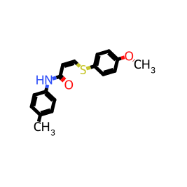 COc1ccc(S/C=C\C(=O)Nc2ccc(C)cc2)cc1